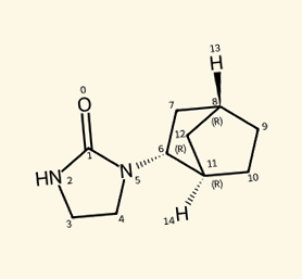 O=C1NCCN1[C@@H]1C[C@@H]2CC[C@@H]1C2